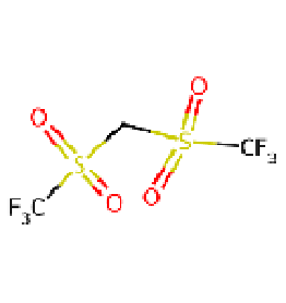 O=S(=O)(CS(=O)(=O)C(F)(F)F)C(F)(F)F